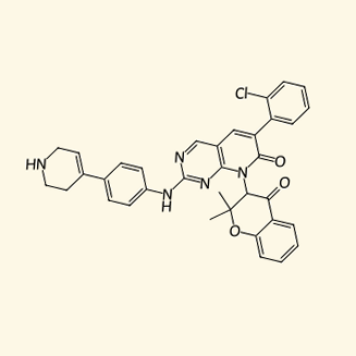 CC1(C)Oc2ccccc2C(=O)C1n1c(=O)c(-c2ccccc2Cl)cc2cnc(Nc3ccc(C4=CCNCC4)cc3)nc21